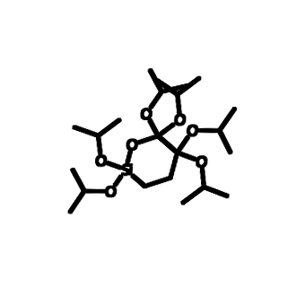 CC(C)OC1(OC(C)C)CC[Si](OC(C)C)(OC(C)C)OC1(OC(C)C)OC(C)C